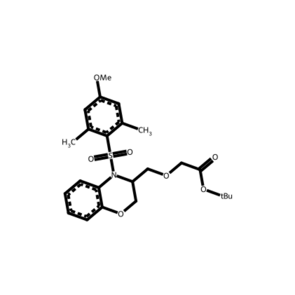 COc1cc(C)c(S(=O)(=O)N2c3ccccc3OCC2COCC(=O)OC(C)(C)C)c(C)c1